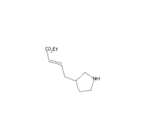 CCOC(=O)C=CCC1CCNC1